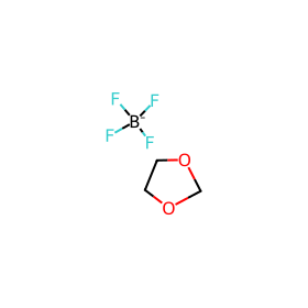 C1COCO1.F[B-](F)(F)F